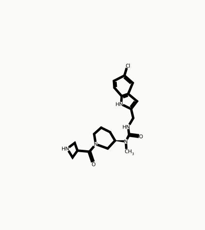 CN(C(=O)NCc1cc2cc(Cl)ccc2[nH]1)[C@@H]1CCCN(C(=O)C2CNC2)C1